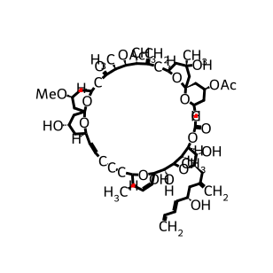 C=C/C=C/[C@@H](O)CC(=C)C[C@H]1OC2[C@H](C)[C@@H](OC(=O)C[C@H]3C[C@H](OC(C)=O)C[C@@]4(C[C@@](C)(O)C[C@H](CC(=C)[C@@H](C)[C@H](OC(C)=O)[C@H](C)C(=O)C[C@@H]5C[C@H](OC)CC6(C[C@@H](O)C[C@H](/C=C\CCC[C@H]7O[C@](O)(C=C[C@H]7C)[C@H]2O)O6)O5)O4)O3)[C@@H]1O